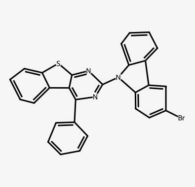 Brc1ccc2c(c1)c1ccccc1n2-c1nc(-c2ccccc2)c2c(n1)sc1ccccc12